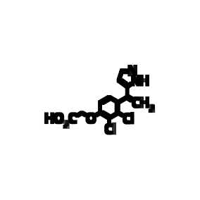 C=C(c1ccn[nH]1)c1ccc(OCC(=O)O)c(Cl)c1Cl